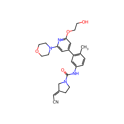 Cc1ccc(NC(=O)N2CC/C(=C\C#N)C2)cc1-c1cc(OCCO)nc(N2CCOCC2)c1